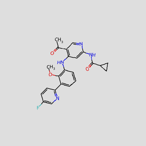 COc1c(Nc2cc(NC(=O)C3CC3)ncc2C(C)=O)cccc1-c1ccc(F)cn1